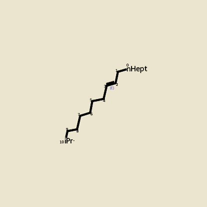 CCCCCCCC/C=C/CCCCCC[C](C)C